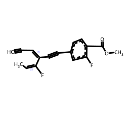 C#C/C=C(C#Cc1ccc(C(=O)OC)c(F)c1)\C(F)=C/C